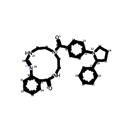 O=C1NCCN(C(=O)c2ccc(N3CCCC3c3ccccc3)cc2)CCN/C=N/c2ccccc21